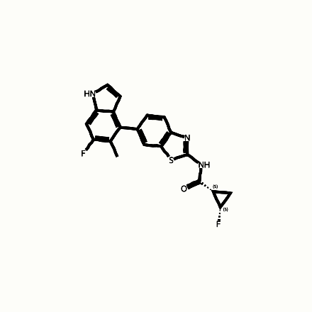 Cc1c(F)cc2[nH]ccc2c1-c1ccc2nc(NC(=O)[C@@H]3C[C@@H]3F)sc2c1